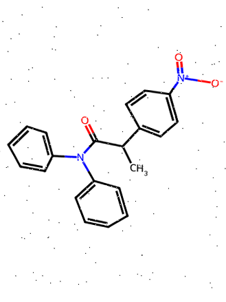 CC(C(=O)N(c1ccccc1)c1ccccc1)c1ccc([N+](=O)[O-])cc1